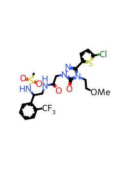 COCCn1c(-c2ccc(Cl)s2)nn(CC(=O)NCC(NS(C)(=O)=O)c2ccccc2C(F)(F)F)c1=O